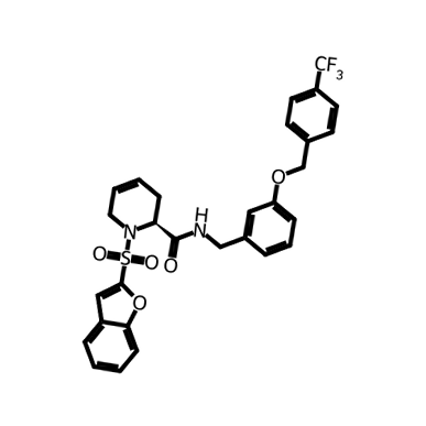 O=C(NCc1cccc(OCc2ccc(C(F)(F)F)cc2)c1)[C@@H]1CC=CCN1S(=O)(=O)c1cc2ccccc2o1